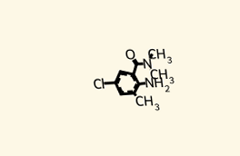 Cc1cc(Cl)cc(C(=O)N(C)C)c1N